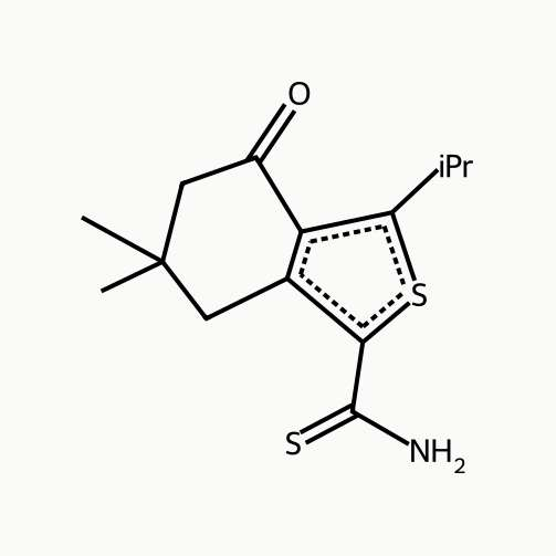 CC(C)c1sc(C(N)=S)c2c1C(=O)CC(C)(C)C2